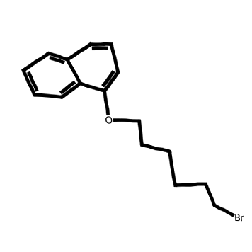 BrCCCCCCOc1cc[c]c2ccccc12